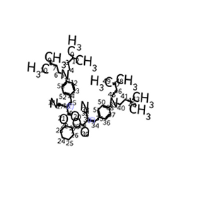 CC(C)CCN(CCC(C)C)c1ccc(/C=C(\C#N)C(=O)OC2CCCCC2OC(=O)/C(C#N)=C/c2ccc(N(CCC(C)C)CCC(C)C)cc2)cc1